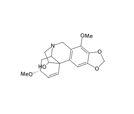 COc1c2c(cc3c1OCO3)C13C=C[C@H](OC)CC1N(C2)CC3O